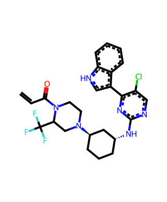 C=CC(=O)N1CCN([C@@H]2CCC[C@@H](Nc3ncc(Cl)c(-c4c[nH]c5ccccc45)n3)C2)CC1C(F)(F)F